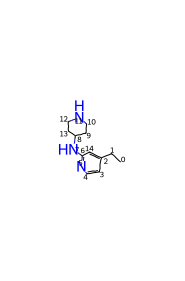 CCc1ccnc(NC2CCNCC2)c1